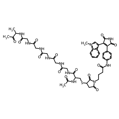 CC(=O)NC(CSC1CC(=O)N(CCCC(=O)Nc2ccc(C3=C(c4cn(C)c5ccccc45)C(=O)NC3=O)cc2)C1=O)C(=O)NCC(=O)NCC(=O)NCC(=O)NCC(=O)NCC(=O)NC(C)C(C)=O